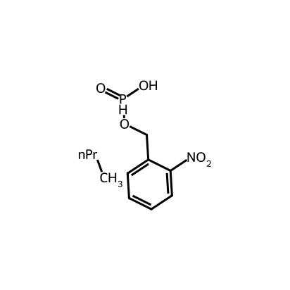 CCCC.O=[N+]([O-])c1ccccc1CO[PH](=O)O